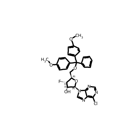 COc1ccc(C(OC[C@H]2O[C@@H](n3cnc4c(Cl)ncnc43)[C@H](O)[C@@H]2F)(c2ccccc2)c2ccc(OC)cc2)cc1